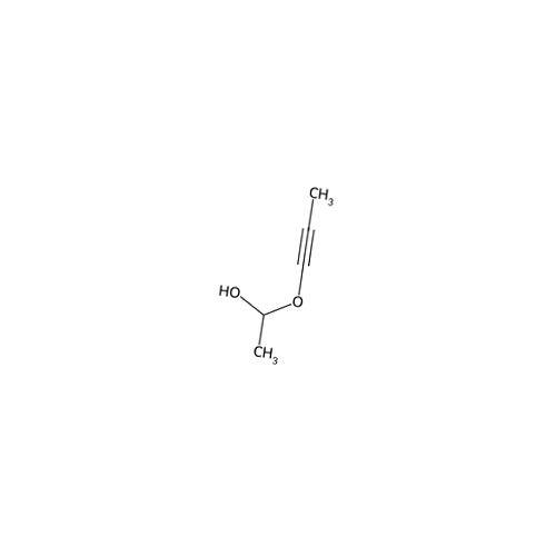 CC#COC(C)O